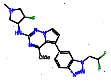 COc1nc(N[C@H]2CN(C)C[C@H]2F)nn2ccc(-c3ccc4nnn(CC(F)F)c4c3)c12